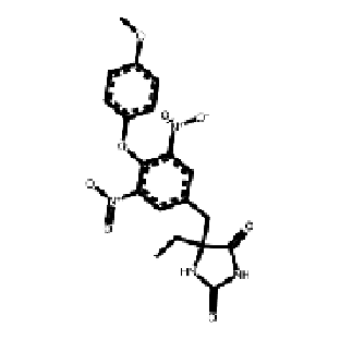 CCC1(Cc2cc([N+](=O)[O-])c(Oc3ccc(OC)cc3)c([N+](=O)[O-])c2)NC(=O)NC1=O